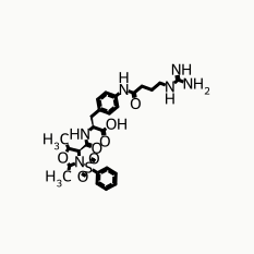 CC1OC(C)N(S(=O)(=O)c2ccccc2)[C@@H]1C(=O)N[C@@H](Cc1ccc(NC(=O)CCCNC(=N)N)cc1)C(=O)O